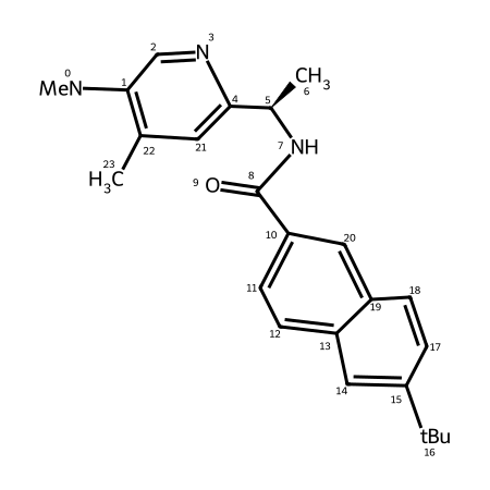 CNc1cnc([C@@H](C)NC(=O)c2ccc3cc(C(C)(C)C)ccc3c2)cc1C